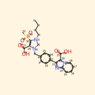 CCCCN1CN(Cc2ccc(-c3nc4ccccn4c3C(=O)O)cc2)C(C(=O)O)=C1S(C)(=O)=O